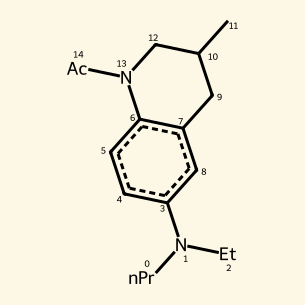 CCCN(CC)c1ccc2c(c1)CC(C)CN2C(C)=O